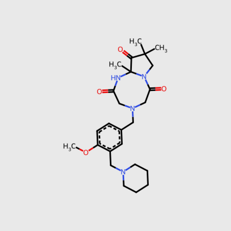 COc1ccc(CN2CC(=O)NC3(C)C(=O)C(C)(C)CN3C(=O)C2)cc1CN1CCCCC1